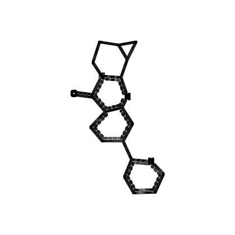 O=c1c2ccc(-c3ccccn3)cc2nc2n1CCC1CC21